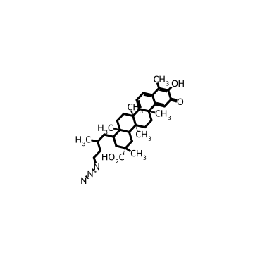 CC1=C(O)C(=O)C=C2C1=CC=C1[C@@]2(C)CC[C@@]2(C)C3C[C@](C)(C(=O)O)CC(CC(C)CCN=[N+]=[N-])[C@]3(C)CC[C@]12C